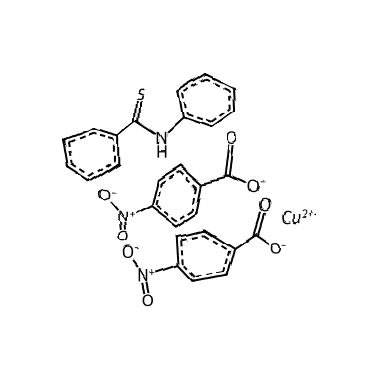 O=C([O-])c1ccc([N+](=O)[O-])cc1.O=C([O-])c1ccc([N+](=O)[O-])cc1.S=C(Nc1ccccc1)c1ccccc1.[Cu+2]